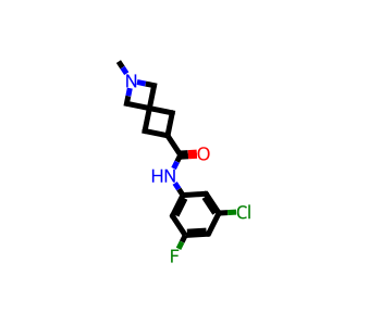 CN1CC2(CC(C(=O)Nc3cc(F)cc(Cl)c3)C2)C1